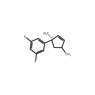 CC1C=C[C@](C)(c2cc(F)cc(F)c2)C1